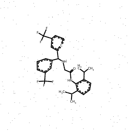 CC(C)c1cccc(C(C)C)c1NC(=O)CNC(c1cccc(C(F)(F)F)c1)c1cccc(C(F)(F)F)c1